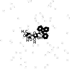 Cc1cn([C@H]2O[C@@H](COC(c3ccccc3)(c3ccccc3)c3ccccc3)[C@H](O)[C@H]2O)c(=O)[nH]c1=O